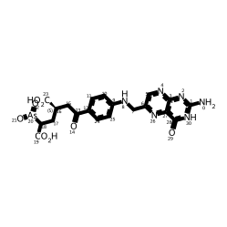 Nc1nc2ncc(CNc3ccc(C(=O)C[C@@H](CC(C(=O)O)[As](=O)=O)C(=O)O)cc3)nc2c(=O)[nH]1